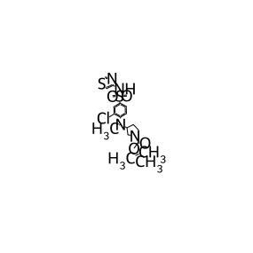 CN(c1ccc(S(=O)(=O)Nc2cscn2)cc1Cl)[C@H]1CCN(C(=O)OC(C)(C)C)C1